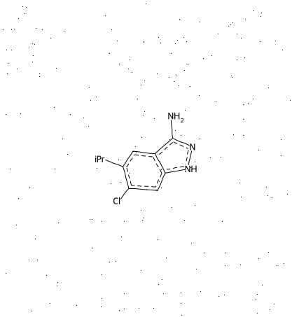 CC(C)c1cc2c(N)n[nH]c2cc1Cl